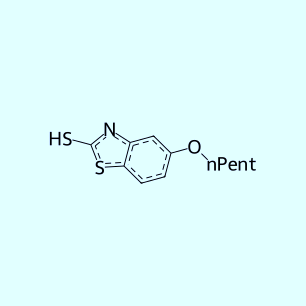 CCCCCOc1ccc2sc(S)nc2c1